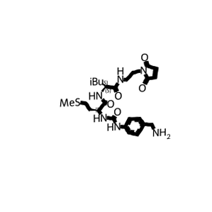 CC[C@H](C)[C@H](NC(=O)[C@H](CCSC)NC(=O)Nc1ccc(CN)cc1)C(=O)NCCN1C(=O)C=CC1=O